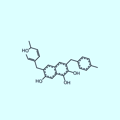 C/C=C(\C=C/C(C)O)Cc1cc2cc(Cc3ccc(C)cc3)c(O)c(O)c2cc1O